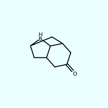 O=C1CC2CC3BC2C(C1)C3